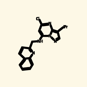 CC(C)c1cnn2c(NCc3ccc4ccccc4n3)cc(Cl)nc12